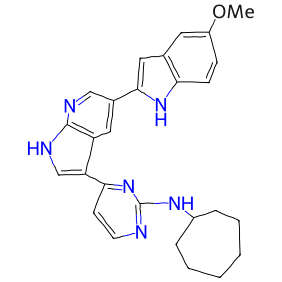 COc1ccc2[nH]c(-c3cnc4[nH]cc(-c5ccnc(NC6CCCCCC6)n5)c4c3)cc2c1